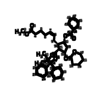 COC(=O)CCC/C=C\C[C@H]1[C@H](CO[Si](c2ccccc2)(c2ccccc2)C(C)(C)C)[C@@H](OC2CCCCO2)C[C@H]1OC(=O)c1ccccc1